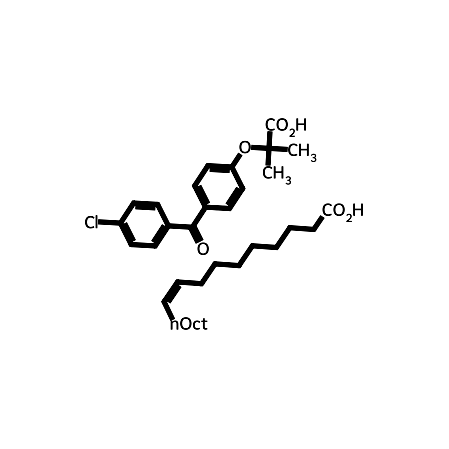 CC(C)(Oc1ccc(C(=O)c2ccc(Cl)cc2)cc1)C(=O)O.CCCCCCCC/C=C\CCCCCCCC(=O)O